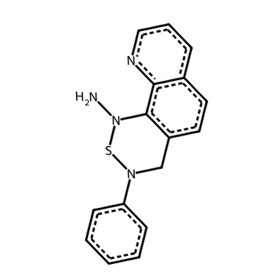 NN1SN(c2ccccc2)Cc2ccc3cccnc3c21